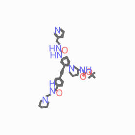 CC(C)(C)OC(=O)NC1CCCN(c2ccc(NC(=O)NCCc3cccnc3)cc2C#Cc2ccc(C(=O)NCCN3CCCCC3)cc2)C1